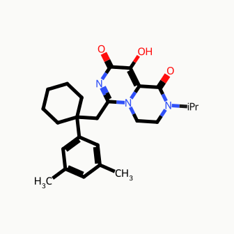 Cc1cc(C)cc(C2(Cc3nc(=O)c(O)c4n3CCN(C(C)C)C4=O)CCCCC2)c1